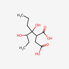 CCCC(O)(C(O)CC)C(CC(=O)O)C(=O)O